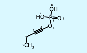 CCC#COP(=O)(O)O